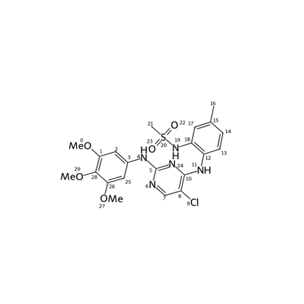 COc1cc(Nc2ncc(Cl)c(Nc3ccc(C)cc3NS(C)(=O)=O)n2)cc(OC)c1OC